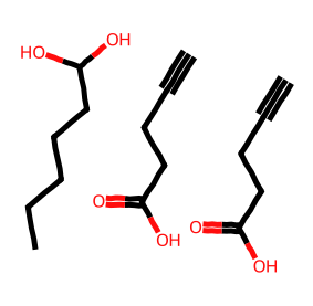 C#CCCC(=O)O.C#CCCC(=O)O.CCCCCC(O)O